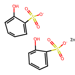 O=S(=O)([O-])c1ccccc1O.O=S(=O)([O-])c1ccccc1O.[Zn+2]